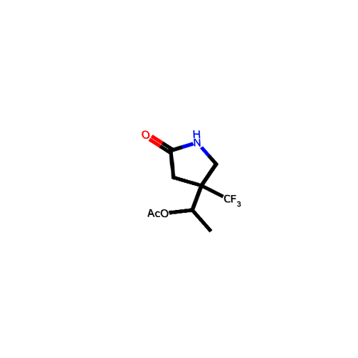 CC(=O)OC(C)C1(C(F)(F)F)CNC(=O)C1